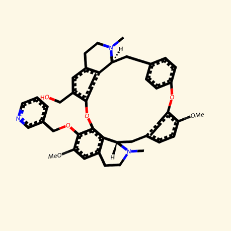 COc1ccc2cc1Oc1ccc(cc1)C[C@H]1c3cc(c(CO)cc3CCN1C)Oc1c(OCc3cccnc3)c(OC)cc3c1[C@H](C2)N(C)CC3